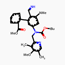 CNc1cc(N(Cc2ncc(C)c(OC)c2C)C(=O)OC(C)(C)C)cc(-c2ccccc2C(=O)OC)c1C=N